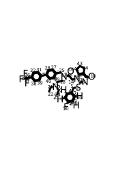 [2H]c1c([2H])c(CSc2nc(=O)c3c(n2CC(=O)N(CCN(CC)CC)Cc2ccc(-c4ccc(C(F)(F)F)cc4)cc2)CCC3)c([2H])c([2H])c1F